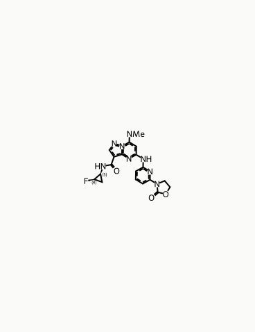 CNc1cc(Nc2cccc(N3CCOC3=O)n2)nc2c(C(=O)N[C@H]3C[C@H]3F)cnn12